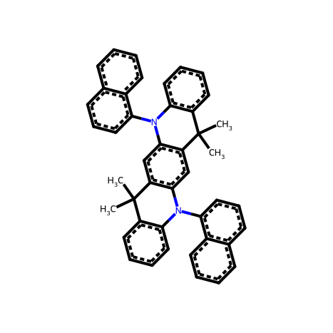 CC1(C)c2ccccc2N(c2cccc3ccccc23)c2cc3c(cc21)N(c1cccc2ccccc12)c1ccccc1C3(C)C